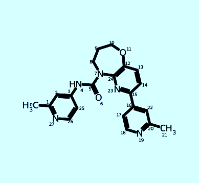 Cc1cc(NC(=O)N2CCCOc3ccc(-c4ccnc(C)c4)nc32)ccn1